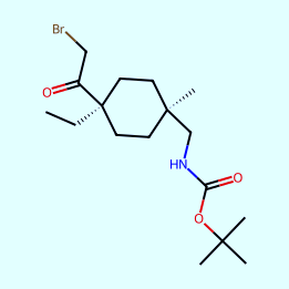 CC[C@]1(C(=O)CBr)CC[C@@](C)(CNC(=O)OC(C)(C)C)CC1